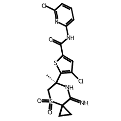 C[C@@]1(c2sc(C(=O)Nc3cccc(Cl)n3)cc2Cl)CS(=O)(=O)C2(CC2)C(=N)N1